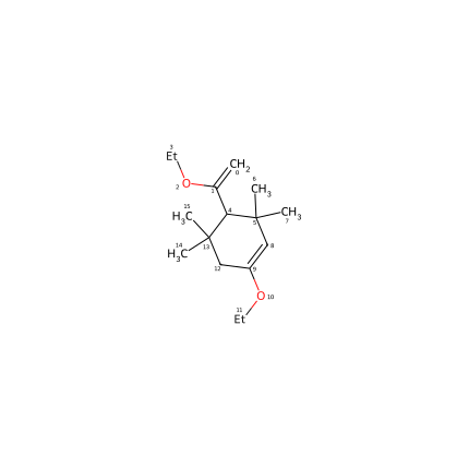 C=C(OCC)C1C(C)(C)C=C(OCC)CC1(C)C